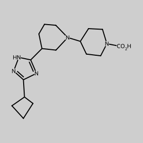 O=C(O)N1CCC(N2CCCC(c3nc(C4CCC4)n[nH]3)C2)CC1